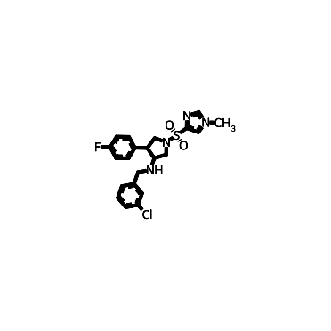 Cn1cnc(S(=O)(=O)N2CC(NCc3cccc(Cl)c3)C(c3ccc(F)cc3)C2)c1